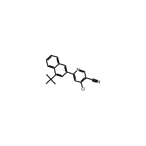 CC(C)(C)c1cc(-c2cc(Cl)c(C#N)cn2)cc2ccccc12